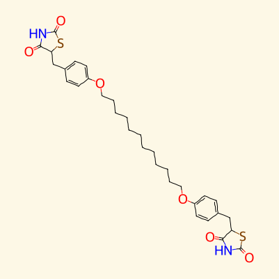 O=C1NC(=O)C(Cc2ccc(OCCCCCCCCCCCCOc3ccc(CC4SC(=O)NC4=O)cc3)cc2)S1